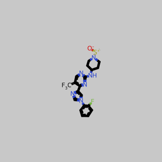 C[S+]([O-])N1CCC(Nc2ncc(C(F)(F)F)c(-c3cn(-c4ccccc4F)cn3)n2)CC1